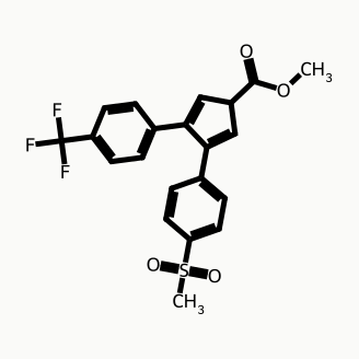 COC(=O)C1C=C(c2ccc(C(F)(F)F)cc2)C(c2ccc(S(C)(=O)=O)cc2)=C1